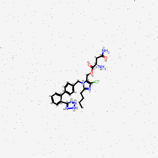 CCCCc1nc(Cl)c(COC(=O)[C@@H](N)CC(N)=O)n1Cc1ccc(-c2ccccc2-c2nn[nH]n2)cc1